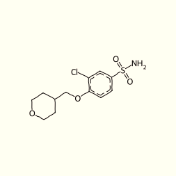 NS(=O)(=O)c1ccc(OCC2CCOCC2)c(Cl)c1